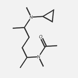 CC(=O)N(C)C(C)CCC(C)N(C)C1CC1